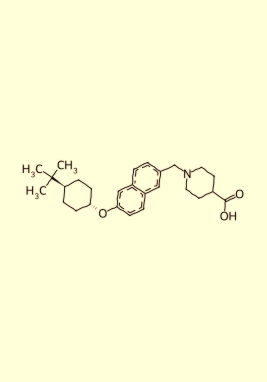 CC(C)(C)[C@H]1CC[C@H](Oc2ccc3cc(CN4CCC(C(=O)O)CC4)ccc3c2)CC1